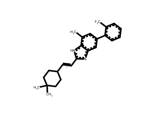 Cc1cc(-c2ccccc2C(F)(F)F)cc2nc(/C=C/C3CCC(C)(C)CC3)[nH]c12